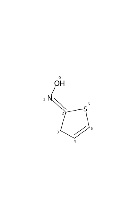 ON=C1CC=CS1